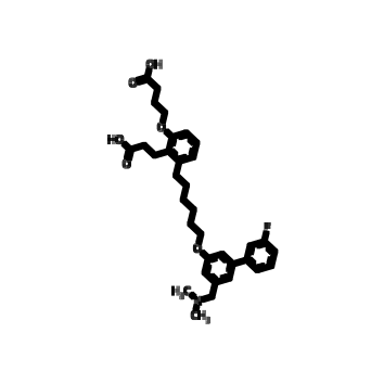 CN(C)Cc1cc(OCCCCCCc2cccc(OCCCC(=O)O)c2CCC(=O)O)cc(-c2cccc(F)c2)c1